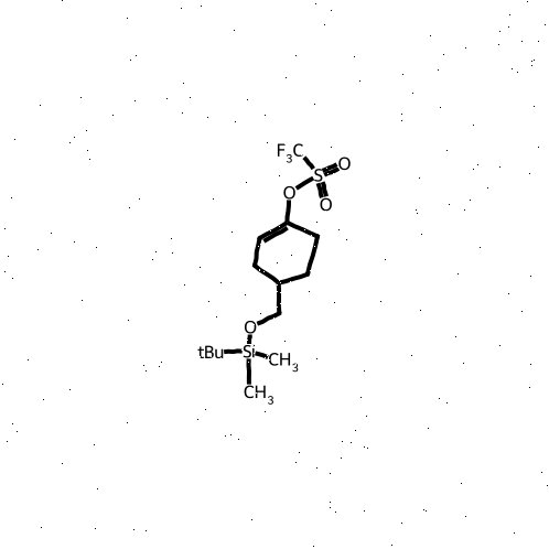 CC(C)(C)[Si](C)(C)OCC1CC=C(OS(=O)(=O)C(F)(F)F)CC1